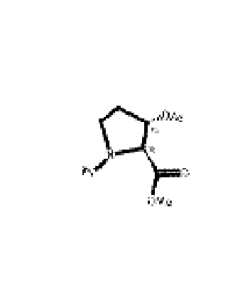 COC(=O)[C@@H]1[C@@H](OC(C)=O)CCN1C(C)C